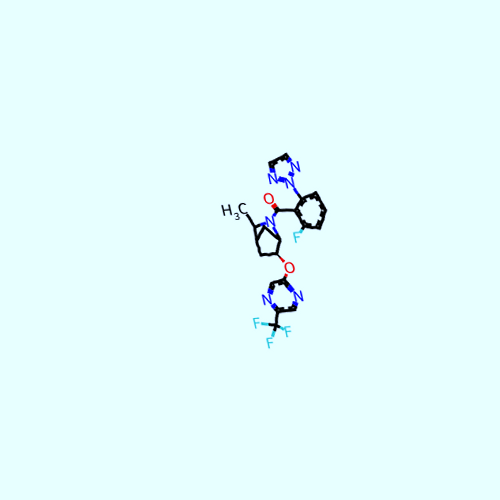 CC1C2CC([C@@H](Oc3cnc(C(F)(F)F)cn3)C2)N1C(=O)c1c(F)cccc1-n1nccn1